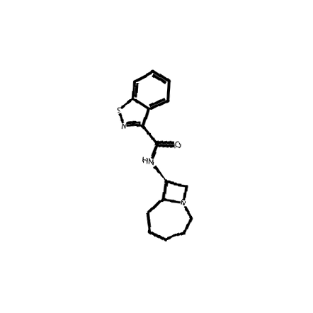 O=C(N[C@H]1CN2CCCCCC12)c1nsc2ccccc12